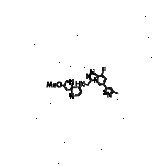 COc1cnc2c(NCc3nnc4c(F)cc(-c5cc(C)ns5)cn34)ccnc2c1